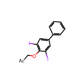 CC(=O)COc1c(I)cc(-c2ccccc2)cc1I